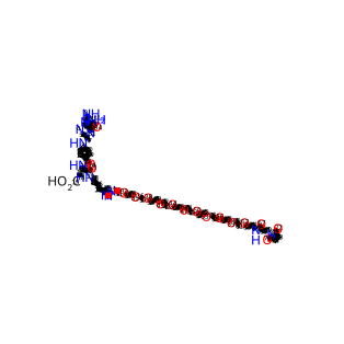 Nc1nc2ncc(CNc3ccc(C(=O)N[C@@H](CCC(=O)O)C(=O)NCCCCc4cn(CCOCCOCCOCCOCCOCCOCCOCCOCCOCCOCCOCCNC(=O)CCN5C(=O)C=CC5=O)nn4)cc3)nc2c(=O)[nH]1